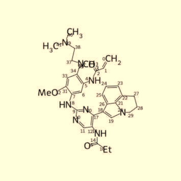 C=CC(=O)Nc1cc(Nc2ncc(NC(=O)CC)c(-c3cn4c5c(cccc35)CCC4)n2)c(OC)cc1N(C)CCN(C)C